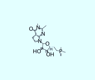 C=P(C)(C)CC[C@H]1OC(n2ccc3c(=O)n(C)c(C)nc32)[C@H](O)[C@@H]1O